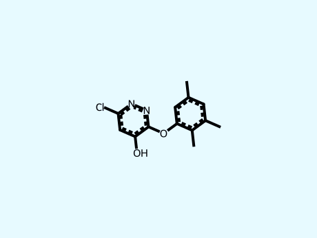 Cc1cc(C)c(C)c(Oc2nnc(Cl)cc2O)c1